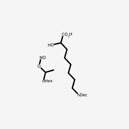 CCCCCCC(C)ON=O.CCCCCCCCCCCCCCCCC(O)C(=O)O